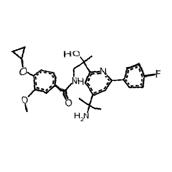 COc1cc(C(=O)NCC(C)(O)c2cc(C(C)(C)N)cc(-c3ccc(F)cc3)n2)ccc1OC1CC1